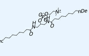 CCCCCCCCCCCCCCCCCC(=O)NCC(CNC(=O)CCCCCCCCCCCCCCCCC)OP(=O)([O-])OCC[N+](C)(C)C